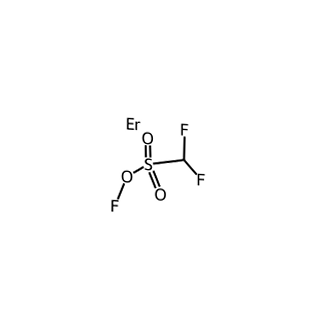 O=S(=O)(OF)C(F)F.[Er]